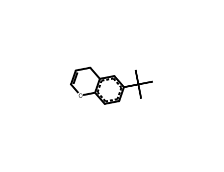 CC(C)(C)c1ccc2c(c1)CC=CO2